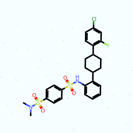 CN(C)S(=O)(=O)c1ccc(S(=O)(=O)Nc2ccccc2C2CCC(c3ccc(Cl)cc3F)CC2)cc1